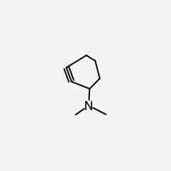 CN(C)C1C#CCCC1